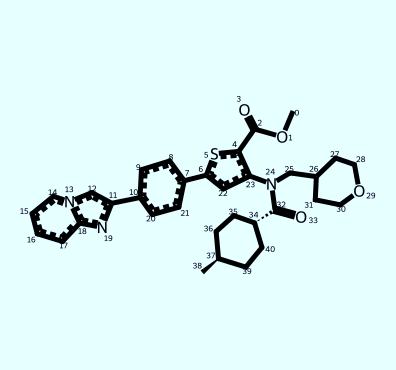 COC(=O)c1sc(-c2ccc(-c3cn4ccccc4n3)cc2)cc1N(CC1CCOCC1)C(=O)[C@H]1CC[C@H](C)CC1